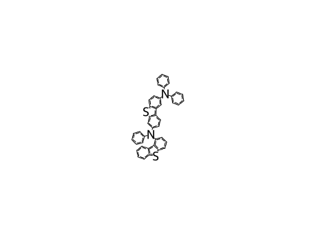 c1ccc(N(c2ccccc2)c2ccc3sc4cc(N(c5ccccc5)c5cccc6sc7ccccc7c56)ccc4c3c2)cc1